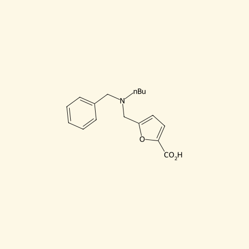 CCCCN(Cc1ccccc1)Cc1ccc(C(=O)O)o1